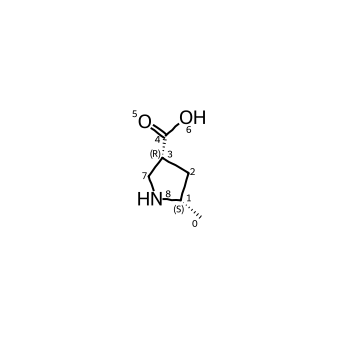 C[C@H]1C[C@@H](C(=O)O)CN1